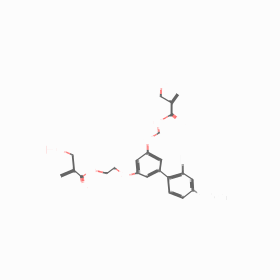 C=C(CO)C(=O)OCCOc1cc(OCOC(=O)C(=C)CO)cc(-c2ccc(CCCCC)cc2CC)c1